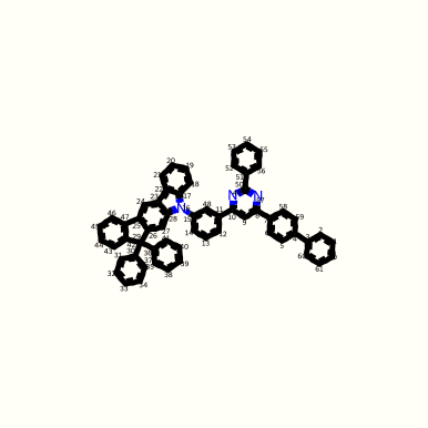 c1ccc(-c2ccc(-c3cc(-c4cccc(-n5c6ccccc6c6cc7c(cc65)C(c5ccccc5)(c5ccccc5)c5ccccc5-7)c4)nc(-c4ccccc4)n3)cc2)cc1